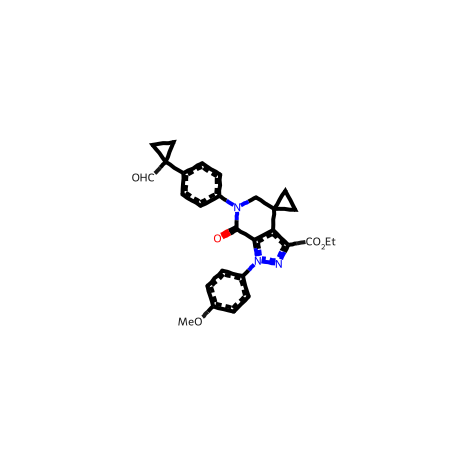 CCOC(=O)c1nn(-c2ccc(OC)cc2)c2c1C1(CC1)CN(c1ccc(C3(C=O)CC3)cc1)C2=O